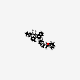 Cc1ccc(-n2nc(C(C)(C)C)cc2NC(=O)N[C@H]2CC[C@@H](Oc3ccc4nnc(N5CCC(O[Si](C(C)C)(C(C)C)C(C)C)C5C)n4c3)c3ccccc32)cc1